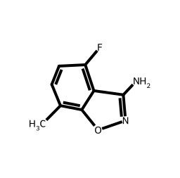 Cc1ccc(F)c2c(N)noc12